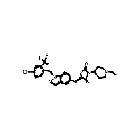 CCN1CCC(N2C(=O)S/C(=C\c3ccc4c(cnn4Cc4ccc(Cl)cc4C(F)(F)F)c3)C2=O)CC1